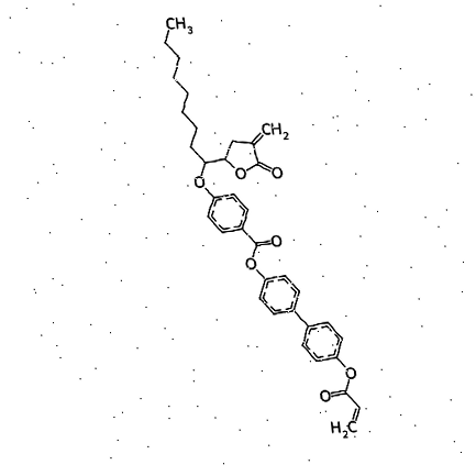 C=CC(=O)Oc1ccc(-c2ccc(OC(=O)c3ccc(OC(CCCCCCCC)C4CC(=C)C(=O)O4)cc3)cc2)cc1